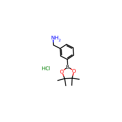 CC1(C)OB(c2cccc(CN)c2)OC1(C)C.Cl